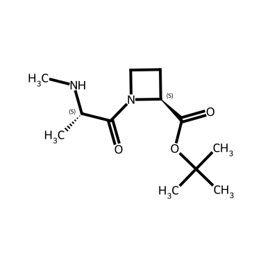 CN[C@@H](C)C(=O)N1CC[C@H]1C(=O)OC(C)(C)C